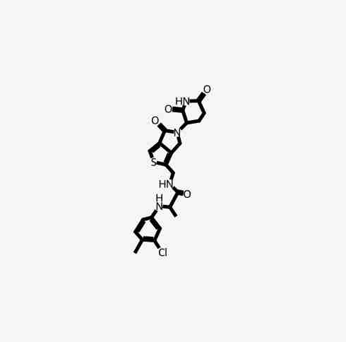 Cc1ccc(NC(C)C(=O)NCc2scc3c2CN(C2CCC(=O)NC2=O)C3=O)cc1Cl